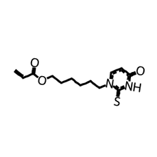 C=CC(=O)OCCCCCCn1ccc(=O)[nH]c1=S